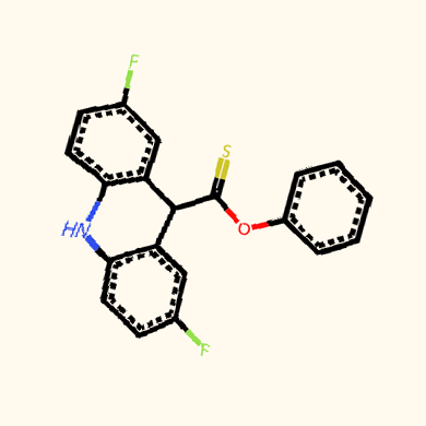 Fc1ccc2c(c1)C(C(=S)Oc1ccccc1)c1cc(F)ccc1N2